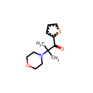 CC(C)(C(=O)c1cccs1)N1CCOCC1